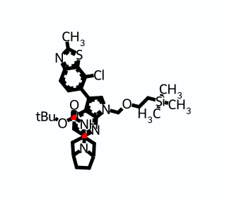 Cc1nc2ccc(-c3cn(COCC[Si](C)(C)C)c4nc(N5C6CCC5CC(NC(=O)OC(C)(C)C)C6)cnc34)c(Cl)c2s1